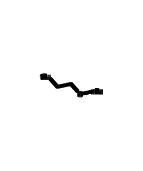 [CH2]CCCOCCC(C)(C)C